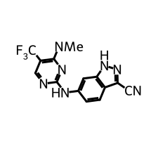 CNc1nc(Nc2ccc3c(C#N)n[nH]c3c2)ncc1C(F)(F)F